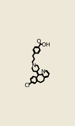 O=C(O)c1ccc(CCCN2CCC(=C3c4ccc(Cl)cc4CCc4cccnc43)CC2)cc1